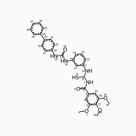 COc1cc(C(=O)NC(S)Nc2cccc(NC(=O)Nc3ccc(-c4ccccc4)cc3)c2)cc(OC)c1OC